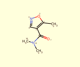 Cc1oncc1C(=O)N(C)C